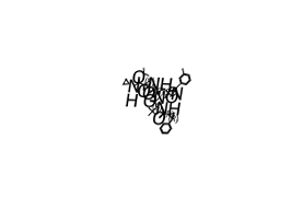 CCC[C@H](NC(=O)[C@@H]1C[C@]2(CC(c3cccc(C)c3)=NO2)CN1C(=O)[C@@H](NC(=O)[C@@H]1C[C@@]1(C)c1ccccc1)C(C)(C)C)C(=O)C(=O)NC1CC1